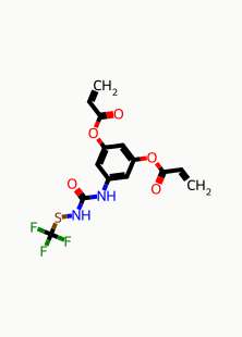 C=CC(=O)Oc1cc(NC(=O)NSC(F)(F)F)cc(OC(=O)C=C)c1